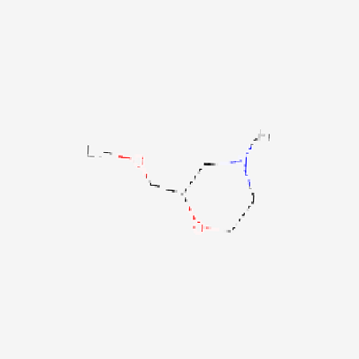 CCOCC1CN(C(C)C)CCO1